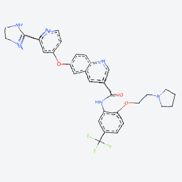 O=C(Nc1cc(C(F)(F)F)ccc1OCCN1CCCC1)c1cnc2ccc(Oc3ccnc(C4=NCCN4)c3)cc2c1